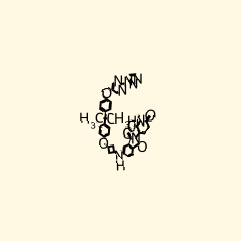 CC(C)(c1ccc(Oc2cnc(-n3ccnn3)nc2)cc1)c1ccc(O[C@H]2C[C@H](Nc3ccc4c(c3)C(=O)N(C3CCC(=O)NC3=O)C4=O)C2)cc1